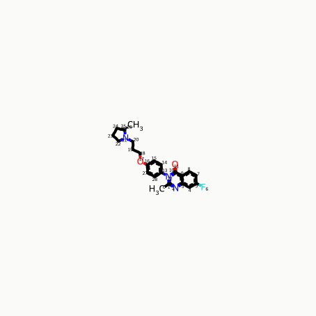 Cc1nc2cc(F)ccc2c(=O)n1-c1ccc(OCCCN2CCC[C@H]2C)cc1